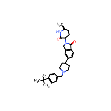 C=C1CCC(N2Cc3cc(C4CCN(Cc5ccc(C(C)(C)CC)cc5)CC4)ccc3C2=O)C(=O)N1